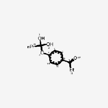 CCCC(O)(O)Oc1ccc(C(=O)CC)cc1